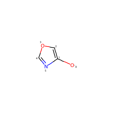 [O]c1cocn1